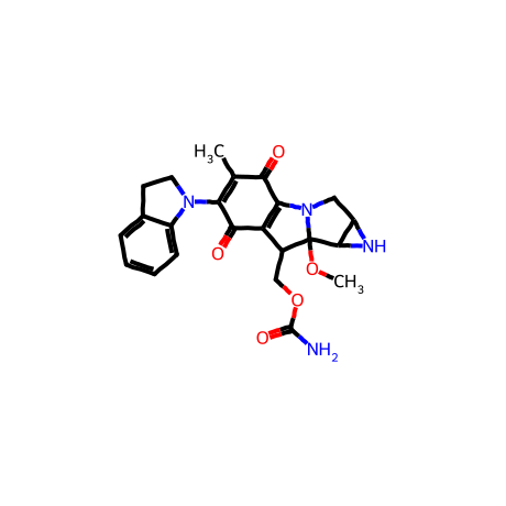 COC12C(COC(N)=O)C3=C(C(=O)C(C)=C(N4CCc5ccccc54)C3=O)N1CC1NC12